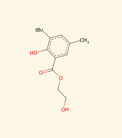 Cc1cc(C(=O)OCCO)c(O)c(C(C)(C)C)c1